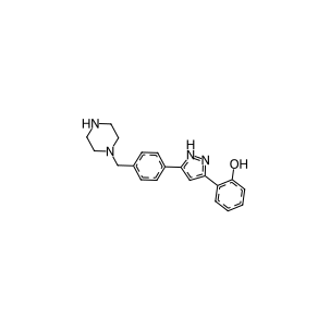 Oc1ccccc1-c1cc(-c2ccc(CN3CCNCC3)cc2)[nH]n1